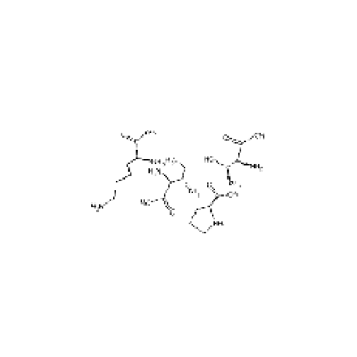 CC[C@H](C)[C@H](N)C(=O)O.C[C@@H](O)[C@H](N)C(=O)O.NCCCC[C@H](N)C(=O)O.O=C(O)[C@@H]1CCCN1